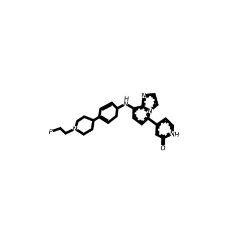 O=c1cc(-c2ccc(NC3C=CC(C4CCN(CCF)CC4)=CC3)c3nccn23)cc[nH]1